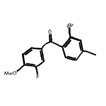 COc1ccc(C(=O)c2ccc(C)cc2Br)cc1F